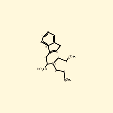 CCCCCCCCCCCCN(CCCCCCCCCCCC)C(CC1=CCc2ccccc21)C(=O)O